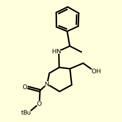 CC(NC1CN(C(=O)OC(C)(C)C)CCC1CO)c1ccccc1